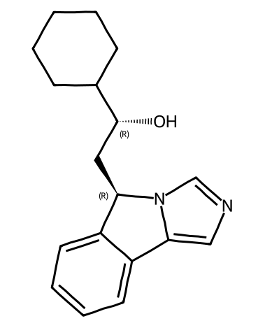 O[C@H](C[C@@H]1c2ccccc2-c2cncn21)C1CCCCC1